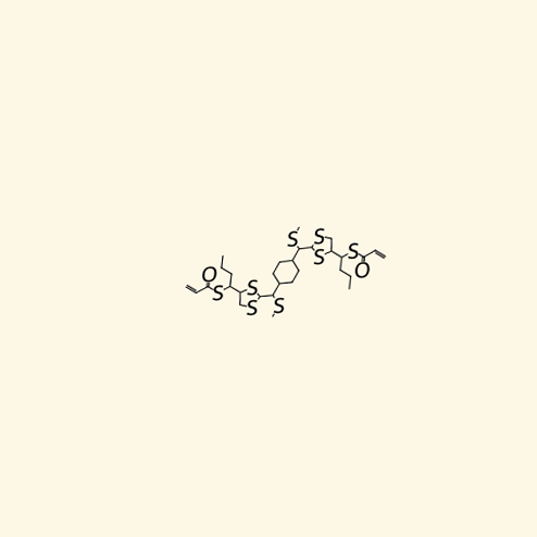 C=CC(=O)SC(CCC)C1CSC(C(SC)C2CCC(C(SC)C3SCC(C(CCC)SC(=O)C=C)S3)CC2)S1